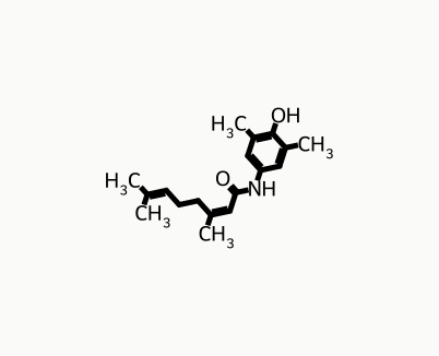 CC(C)=CCCC(C)=CC(=O)Nc1cc(C)c(O)c(C)c1